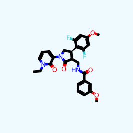 CCn1cccc(N2C[C@@H](c3c(F)cc(OC)cc3F)C(CNC(=O)c3cccc(OC)c3)C2=O)c1=O